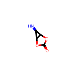 N=C1C2OC(=O)OC12